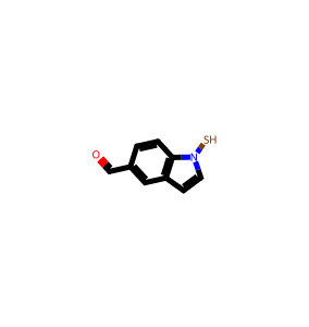 O=Cc1ccc2c(ccn2S)c1